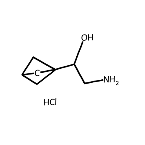 Cl.NCC(O)C12CC(C1)C2